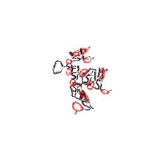 CO[SiH](C)O[Si](C)(O[SiH](O[Si](C)(O[SiH](OC)OC)c1ccccc1)O[Si](C)(O[SiH](OC)OC)c1ccccc1)c1ccccc1